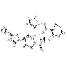 O=C(NCC1COCCN1C(=O)Cc1cccs1)c1ccc(-c2noc(C(F)(F)F)n2)cc1